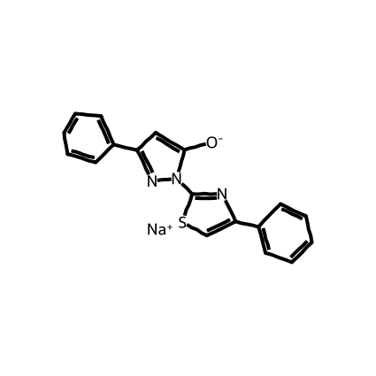 [Na+].[O-]c1cc(-c2ccccc2)nn1-c1nc(-c2ccccc2)cs1